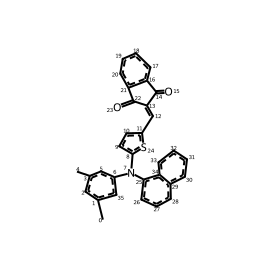 Cc1cc(C)cc(N(c2ccc(C=C3C(=O)c4ccccc4C3=O)s2)c2cccc3ccccc23)c1